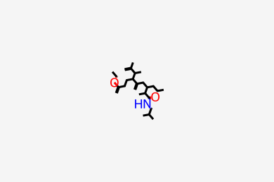 C=C(CCC(C(=C)CC(CCC)C(C)C(=O)NCC(C)C)C(C)C(=C)C)OCC